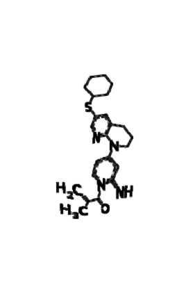 C=C(C)C(=O)n1ccc(N2CCCc3cc(SC4CCCCC4)cnc32)cc1=N